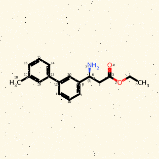 CCOC(=O)C[C@H](N)c1cccc(-c2cccc(C)c2)c1